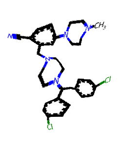 CN1CCN(c2ccc(C#N)c(CN3CCN(C(c4ccc(Cl)cc4)c4ccc(Cl)cc4)CC3)c2)CC1